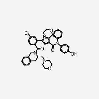 O=C(c1cc(-c2cc(Cl)ccc2C(=O)N2Cc3ccccc3C[C@H]2CN2CCOCC2)n2c1COCC2)N(c1ccccc1)c1ccc(O)cc1